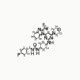 O=C(NCc1ccc(F)cc1)N[C@H]1CC[C@H](Nc2nc(N3CCOCC3)cc(-n3c(C(F)F)nc4ccccc43)n2)CC1